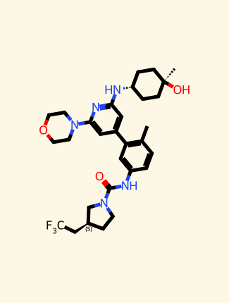 Cc1ccc(NC(=O)N2CC[C@@H](CC(F)(F)F)C2)cc1-c1cc(N[C@H]2CC[C@](C)(O)CC2)nc(N2CCOCC2)c1